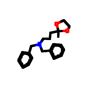 CC1(CCCN(Cc2ccccc2)Cc2ccccc2)OCCO1